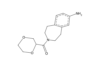 Nc1ccc2c(c1)CCN(C(=O)C1COCCO1)CC2